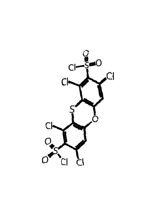 O=S(=O)(Cl)c1c(Cl)cc2c(c1Cl)Sc1c(cc(Cl)c(S(=O)(=O)Cl)c1Cl)O2